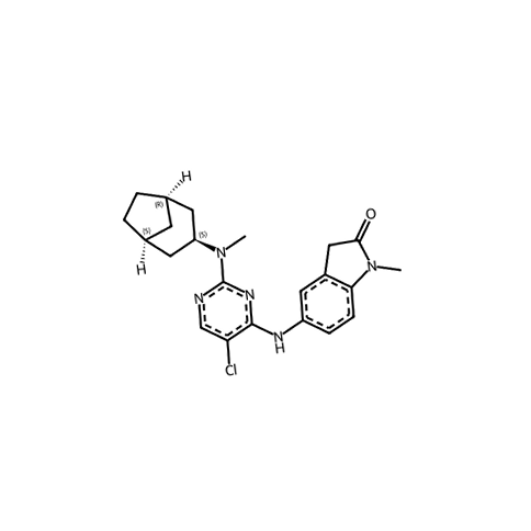 CN1C(=O)Cc2cc(Nc3nc(N(C)[C@@H]4C[C@@H]5CC[C@@H](C5)C4)ncc3Cl)ccc21